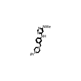 CNc1cc(Nc2cccc(CN3CCN(C(C)C)CC3)c2)ncn1